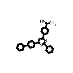 CC(=N)c1ccc(-c2cc(-c3ccc(-c4ccccc4)cc3)nc(-c3ccccc3)n2)cc1